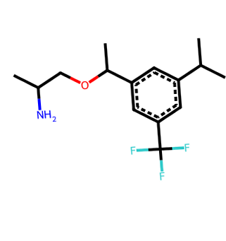 CC(N)COC(C)c1cc(C(C)C)cc(C(F)(F)F)c1